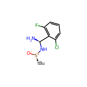 CC(C)(C)[S@@+]([O-])N[C@@H](N)c1c(F)cccc1Cl